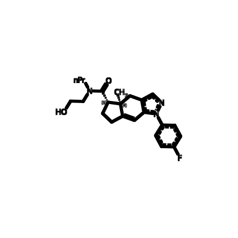 CCCN(CCO)C(=O)[C@H]1CCC2=Cc3c(cnn3-c3ccc(F)cc3)C[C@@]21C